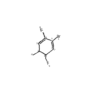 CC1C=C(F)C(Br)=CC1F